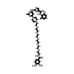 Cc1nc(Nc2ncc(C(=O)Nc3c(C)cccc3Cl)s2)cc(N2CCN(CCOCCOCCOCCOCCOCCNC(=O)c3ccc(O)c(O)c3)CC2)n1